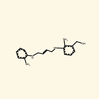 Nc1ccccc1NCC=CCNc1cccc(CO)c1N